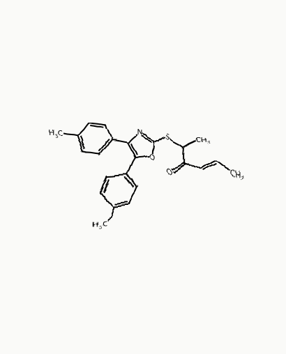 C/C=C/C(=O)C(C)Sc1nc(-c2ccc(C)cc2)c(-c2ccc(C)cc2)o1